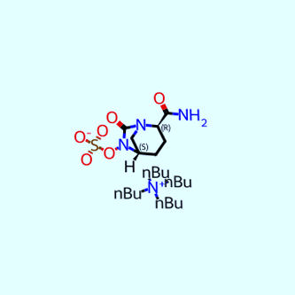 CCCC[N+](CCCC)(CCCC)CCCC.NC(=O)[C@H]1CC[C@H]2CN1C(=O)N2OS(=O)(=O)[O-]